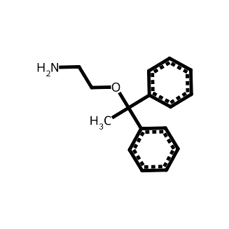 CC(OCCN)(c1ccccc1)c1ccccc1